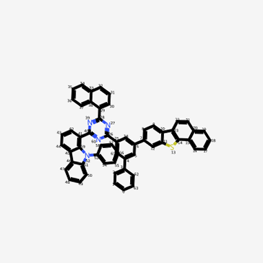 c1ccc(-c2cc(-c3ccc4c(c3)sc3c5ccccc5ccc43)cc(-c3nc(-c4cccc5ccccc45)nc(-c4cccc5c6ccccc6n(-c6ccccc6)c45)n3)c2)cc1